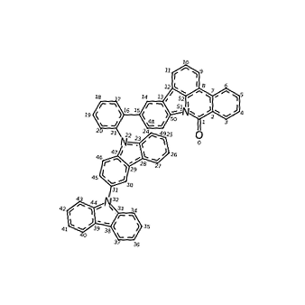 O=c1c2ccccc2c2cccc3c4cc(-c5ccccc5-n5c6ccccc6c6cc(-n7c8ccccc8c8ccccc87)ccc65)ccc4n1c23